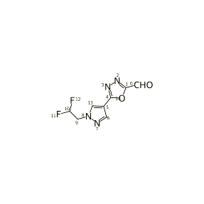 O=Cc1nnc(-c2cnn(CC(F)F)c2)o1